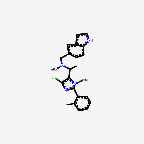 CCCCN(Cc1ccc2[nH]ccc2c1)C(C)c1c(Cl)nc(-c2ccccc2C)n1CCCC